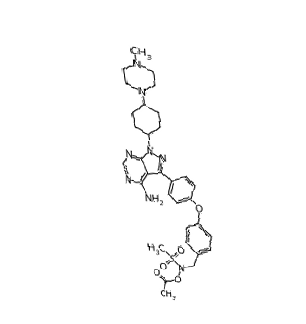 CC(=O)ON(Cc1ccc(Oc2ccc(-c3nn(C4CCC(N5CCN(C)CC5)CC4)c4ncnc(N)c34)cc2)cc1)S(C)(=O)=O